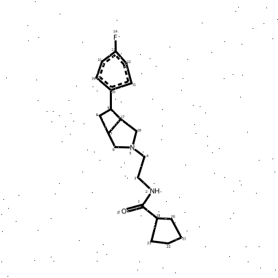 O=C(NCCN1CC2CC(c3ccc(F)cc3)C2C1)C1CCCC1